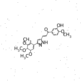 COC1=CC(c2cc(/C=C/C(=O)c3ccc(OC)c(O)c3)[nH]n2)=CC(OC)C1OC